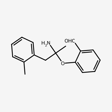 Cc1ccccc1CC(C)(N)Oc1ccccc1C=O